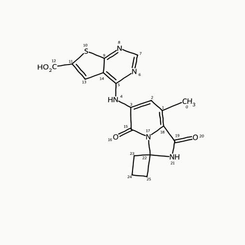 Cc1cc(Nc2ncnc3sc(C(=O)O)cc23)c(=O)n2c1C(=O)NC21CCC1